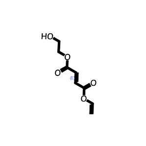 C=COC(=O)/C=C/C(=O)OCCO